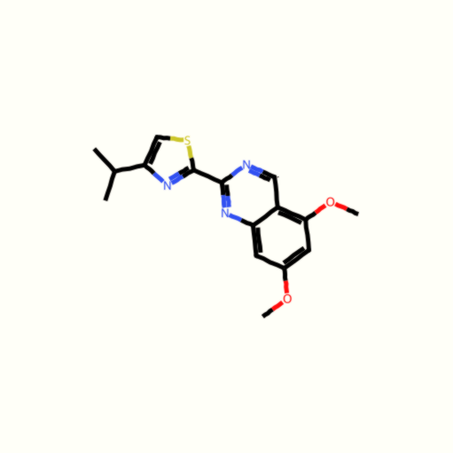 COc1cc(OC)c2[c]nc(-c3nc(C(C)C)cs3)nc2c1